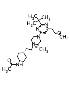 COCCc1cc(N2CCN(CC[C@H]3CC[C@H](NC(C)=O)CC3)[C@@H](C)C2)nc(C(C)(C)C)n1